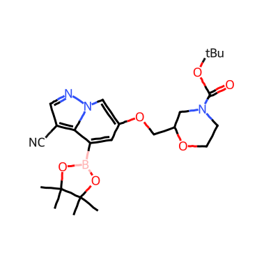 CC(C)(C)OC(=O)N1CCOC(COc2cc(B3OC(C)(C)C(C)(C)O3)c3c(C#N)cnn3c2)C1